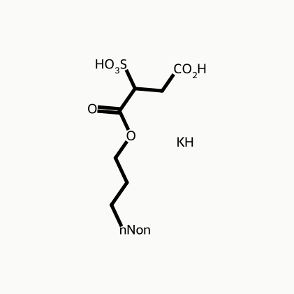 CCCCCCCCCCCCOC(=O)C(CC(=O)O)S(=O)(=O)O.[KH]